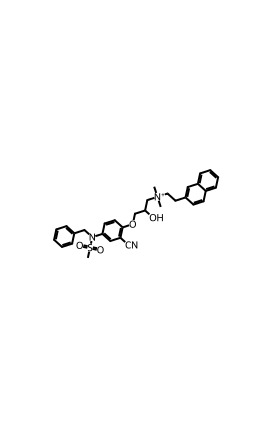 C[N+](C)(CCc1ccc2ccccc2c1)CC(O)COc1ccc(N(Cc2ccccc2)S(C)(=O)=O)cc1C#N